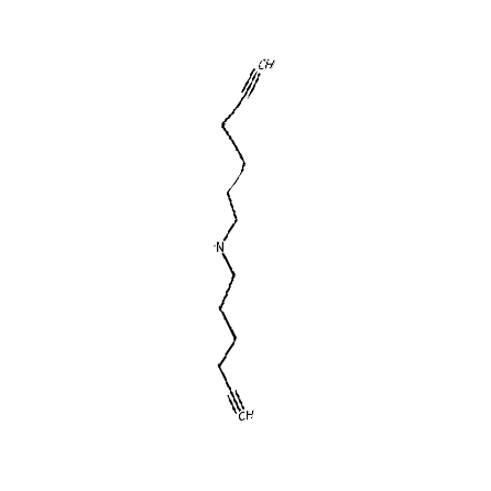 C#CCCCC[N]CCCCC#C